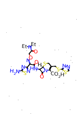 CCN(CC)C(=O)CO/N=C(\C(=O)NC1C(=O)N2C(C(=O)O)=C(CSc3nncs3)CS[C@H]12)c1nsc(N)n1